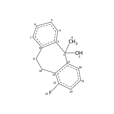 CC1(O)c2ccccc2CCc2c(F)cccc21